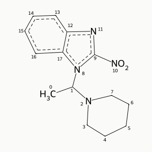 CC(N1CCCCC1)n1c([N+](=O)[O-])nc2ccccc21